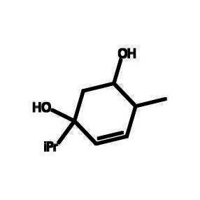 CC1C=CC(O)(C(C)C)CC1O